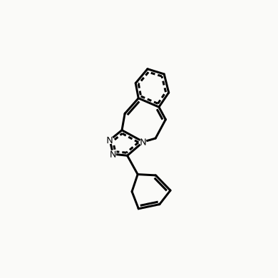 C1=CCC(c2nnc3n2CC=c2ccccc2=C3)C=C1